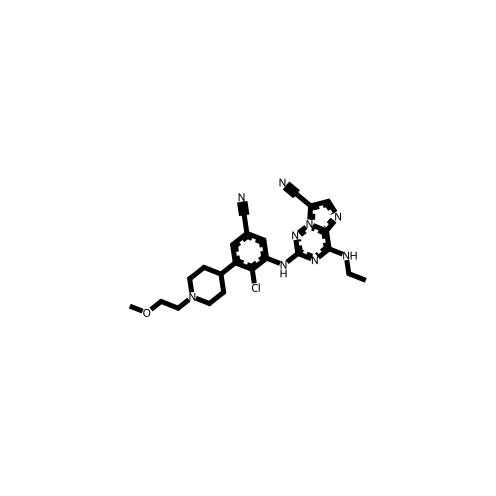 CCNc1nc(Nc2cc(C#N)cc(C3CCN(CCOC)CC3)c2Cl)nn2c(C#N)cnc12